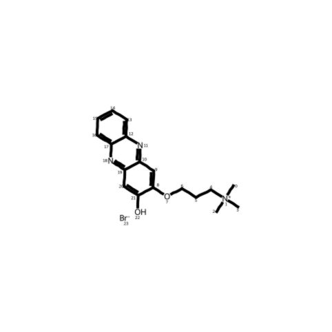 C[N+](C)(C)CCCOc1cc2nc3ccccc3nc2cc1O.[Br-]